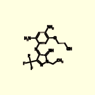 CCN1N=C(C(F)(F)F)C(=Nc2cc(OCCO)c(N)cc2N)C1=N